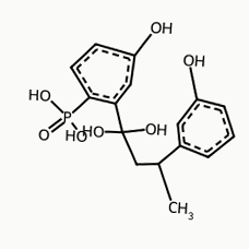 CC(CC(O)(O)c1cc(O)ccc1P(=O)(O)O)c1cccc(O)c1